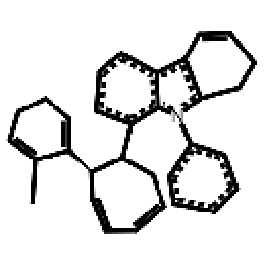 CC1=CCCC=C1[C@@H]1C=CC=CCC1c1cccc2c3c(n(-c4ccccc4)c12)CCC=C3